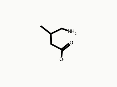 CC(CN)CC([O])=O